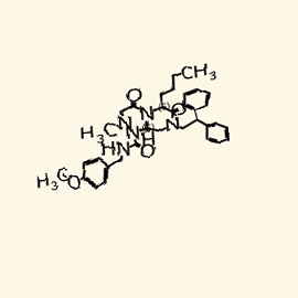 CCCC[C@H]1C(=O)N(CC(c2ccccc2)c2ccccc2)C[C@H]2N1C(=O)CN(C)N2C(=O)NCc1ccc(OC)cc1